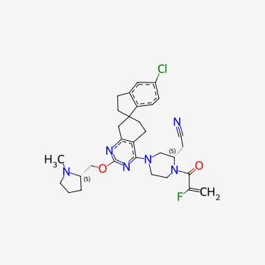 C=C(F)C(=O)N1CCN(c2nc(OC[C@@H]3CCCN3C)nc3c2CCC2(CCc4cc(Cl)ccc42)C3)C[C@@H]1CC#N